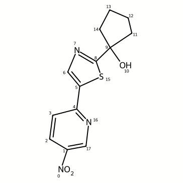 O=[N+]([O-])c1ccc(-c2cnc(C3(O)CCCC3)s2)nc1